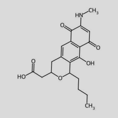 CCCCC1OC(CC(=O)O)Cc2cc3c(c(O)c21)C(=O)C=C(NC)C3=O